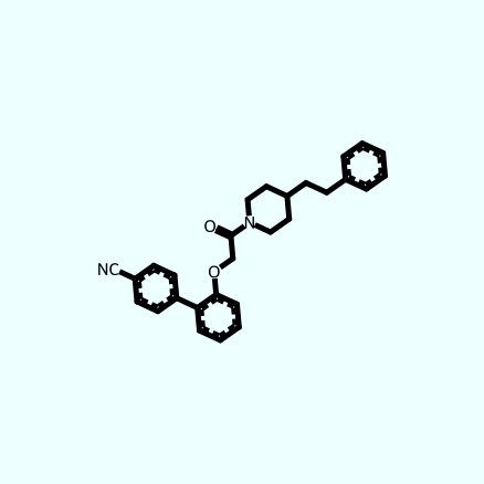 N#Cc1ccc(-c2ccccc2OCC(=O)N2CCC(CCc3ccccc3)CC2)cc1